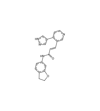 O=C(C=Cc1cnccc1-c1cn[nH]c1)Nc1ccc2c(c1)OCC2